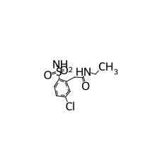 CCNC(=O)Cc1cc(Cl)ccc1S(N)(=O)=O